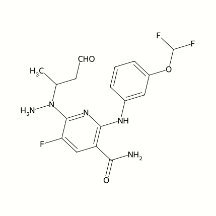 CC(CC=O)N(N)c1nc(Nc2cccc(OC(F)F)c2)c(C(N)=O)cc1F